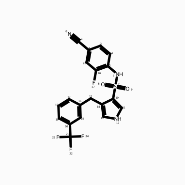 N#Cc1ccc(NS(=O)(=O)c2c[nH]cc2Cc2cccc(C(F)(F)F)c2)c(F)c1